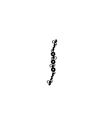 C=CC(=O)OCCCCCOc1ccc(C(=O)Oc2ccc(OC(=O)c3ccc(OCCCCOC(=O)C=C)cc3)cc2)cc1